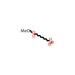 COCCOC(=O)CCCCCCCCC[SH](=O)=O